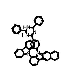 C1=CCC2C=c3c4c(n(C5CC=C(C6=NC(c7ccccc7)NC(c7ccccc7)N6)CC5)c3=CC2=C1)C(N1c2ccccc2C2C=CC=CC21)CC=C4